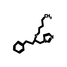 CCCCCSC(CCc1ccccc1)Cn1ccnc1